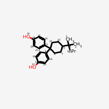 CCCC(C)(C)C1CCC(c2ccc(O)cc2)(c2ccc(O)cc2)CC1